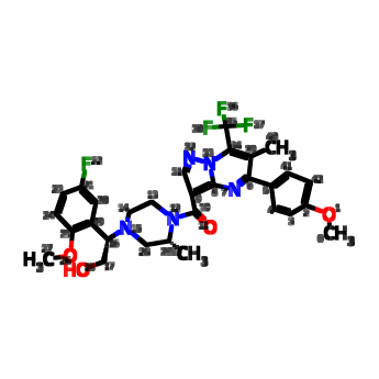 COc1ccc(-c2nc3c(C(=O)N4CCN([C@@H](CO)c5cc(F)ccc5OC)C[C@H]4C)cnn3c(C(F)(F)F)c2C)cc1